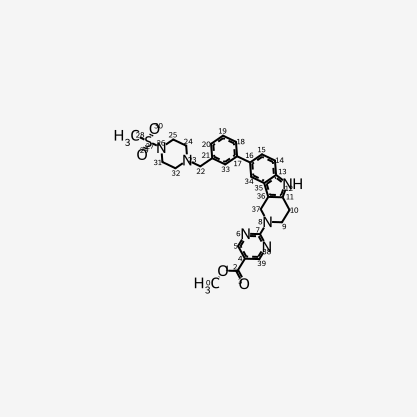 COC(=O)c1cnc(N2CCc3[nH]c4ccc(-c5cccc(CN6CCN(S(C)(=O)=O)CC6)c5)cc4c3C2)nc1